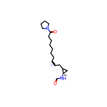 O=CN[C@@H]1CC1C/C=C\CCCCCCC(=O)N1CCCC1